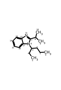 CCCC(CC)n1c(C(C)C)nc2ccccc21